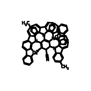 Cc1ccc2c(c1)c1ccc3c4ccccc4oc3c1n2C1=C(C#N)C(C#N)C(n2c3ccc(C)cc3c3ccc4c5ccccc5oc4c32)C(n2c3ccccc3c3ccccc32)=C1n1c2ccccc2c2ccccc21